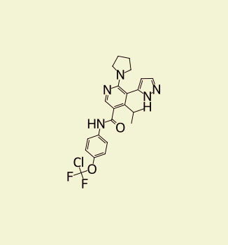 CC(C)c1c(C(=O)Nc2ccc(OC(F)(F)Cl)cc2)cnc(N2CCCC2)c1-c1ccn[nH]1